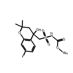 CC(C)(C)OC(=O)NS(=O)(=O)CC1(O)CC(C)(C)Oc2cc(F)ccc21